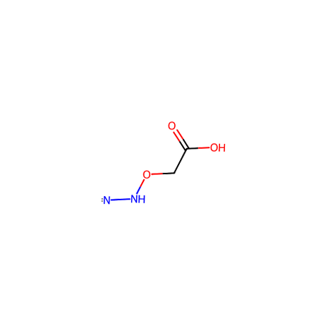 [N]NOCC(=O)O